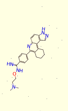 CN(C)CCONC(=N)c1ccc(-c2nc3ccc4[nH]ncc4c3c3c2CCCC3)cc1